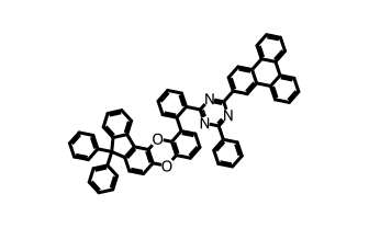 c1ccc(-c2nc(-c3ccc4c5ccccc5c5ccccc5c4c3)nc(-c3ccccc3-c3cccc4c3Oc3c(ccc5c3-c3ccccc3C5(c3ccccc3)c3ccccc3)O4)n2)cc1